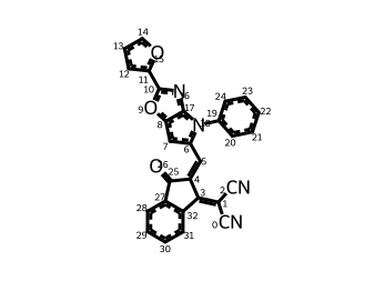 N#CC(C#N)=C1/C(=C/c2cc3oc(-c4ccco4)nc3n2-c2ccccc2)C(=O)c2ccccc21